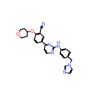 N#Cc1cc(-c2ccnc(Nc3ccc(Cn4ccnc4)cc3)n2)ccc1OC1CCOCC1